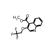 COC(=O)c1c(OCC(F)(F)F)cnc2ccccc12